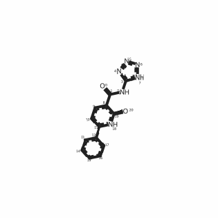 O=C(Nc1nnn[nH]1)c1ccc(-c2ccccc2)[nH]c1=O